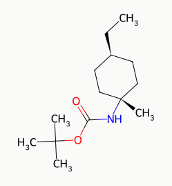 CC[C@H]1CC[C@](C)(NC(=O)OC(C)(C)C)CC1